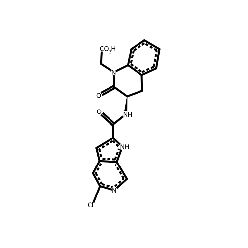 O=C(O)CN1C(=O)[C@H](NC(=O)c2cc3cc(Cl)ncc3[nH]2)Cc2ccccc21